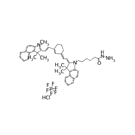 C[N+]1=C(/C=C/C2=CC(=C/C=C3/N(CCCCCC(=O)NN)c4ccc5ccccc5c4C3(C)C)/CCC2)C(C)(C)c2c1ccc1ccccc21.Cl.F[P-](F)(F)(F)(F)F